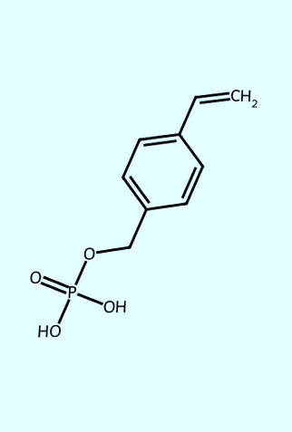 C=Cc1ccc(COP(=O)(O)O)cc1